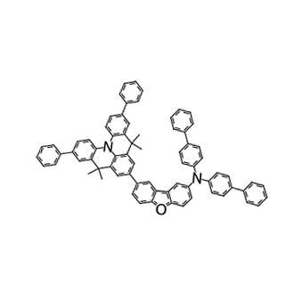 CC1(C)c2cc(-c3ccccc3)ccc2N2c3ccc(-c4ccccc4)cc3C(C)(C)c3cc(-c4ccc5oc6ccc(N(c7ccc(-c8ccccc8)cc7)c7ccc(-c8ccccc8)cc7)cc6c5c4)cc1c32